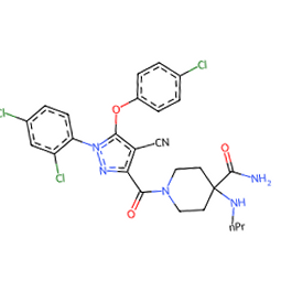 CCCNC1(C(N)=O)CCN(C(=O)c2nn(-c3ccc(Cl)cc3Cl)c(Oc3ccc(Cl)cc3)c2C#N)CC1